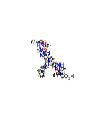 COC(=O)N[C@H](C(=O)N1CCC[C@H]1c1nc2ccc([C@H]3CC[C@H](c4ccc5nc([C@@H]6CCCN6C(=O)[C@H](C(C)C)N(C)C(=O)O)[nH]c5c4)N3c3ccc(N4CCC(F)(c5ccccc5)CC4)cc3)cc2[nH]1)C(C)C